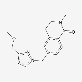 COCc1ccn(Cc2ccc3c(c2)CCN(C)C3=O)n1